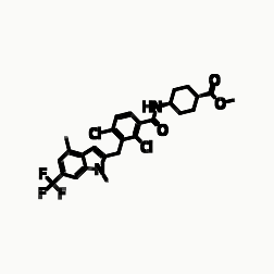 COC(=O)[C@H]1CC[C@@H](NC(=O)c2ccc(Cl)c(Cc3cc4c(C)cc(C(F)(F)F)cc4n3C)c2Cl)CC1